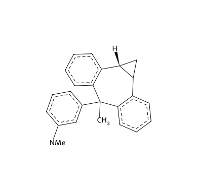 CNc1cccc(C2(C)c3ccccc3C3C[C@H]3c3ccccc32)c1